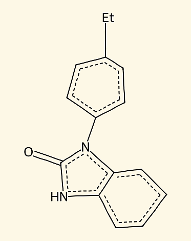 CCc1ccc(-n2c(=O)[nH]c3ccccc32)cc1